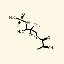 C=C(F)C(=O)OCC(C)(C)C(C)NS(C)(=O)=O